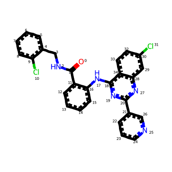 O=C(NCc1ccccc1Cl)c1ccccc1Nc1nc(-c2cccnc2)nc2cc(Cl)ccc12